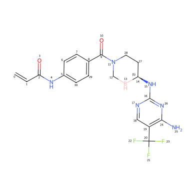 C=CC(=O)Nc1ccc(C(=O)N2CB[C@H](Nc3ncc(C(F)(F)F)c(N)n3)CC2)cc1